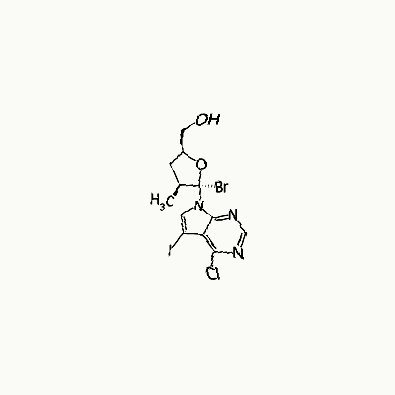 C[C@H]1C[C@@H](CO)O[C@@]1(Br)n1cc(I)c2c(Cl)ncnc21